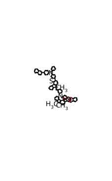 CC1(C)c2cccc(N(c3ccc(-c4ccc5ccccc5c4)cc3)c3cccc(CC4(C)c5ccccc5-c5c4ccc4c5sc5cc(N(c6ccccc6)c6ccc(-c7ccc8ccccc8c7)cc6)ccc54)c3)c2-c2c1ccc1c2sc2ccccc21